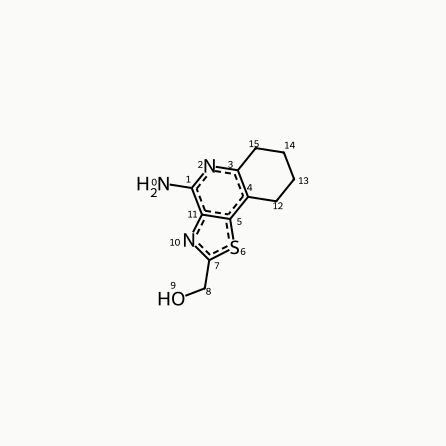 Nc1nc2c(c3sc(CO)nc13)CCCC2